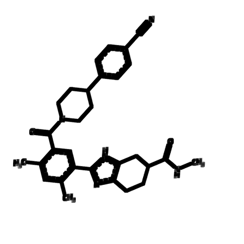 CNC(=O)C1CCc2nc(-c3cc(C(=O)N4CCC(c5ccc(C#N)cc5)CC4)c(C)cc3C)[nH]c2C1